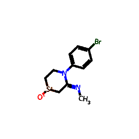 CN=C1C[S+]([O-])CCN1c1ccc(Br)cc1